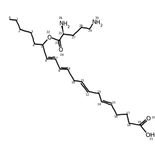 CCCCCC(C=CC=CCC=CCC=CCCCC(=O)O)OC(=O)[C@@H](N)CCCN